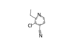 CCc1nccc(C#N)c1Cl